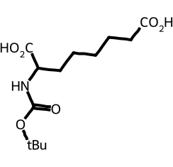 CC(C)(C)OC(=O)NC(CCCCCC(=O)O)C(=O)O